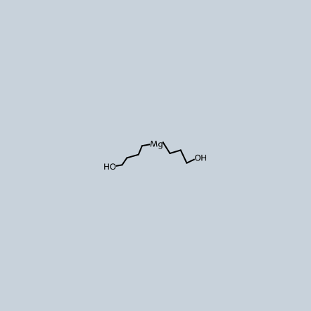 OCCC[CH2][Mg][CH2]CCCO